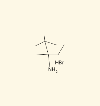 Br.CCC(C)(N)C(C)(C)C